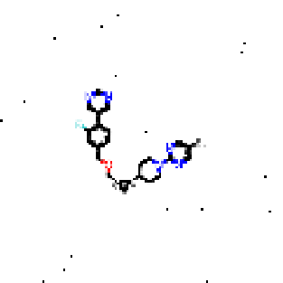 CCc1cnc(N2CCC([C@H]3C[C@H]3COCc3ccc(-c4cncnc4)c(F)c3)CC2)nc1